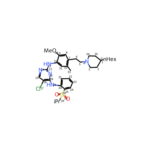 CCCCCCC1CCN(CCc2cc(OC)c(Nc3ncc(Cl)c(Nc4ccccc4S(=O)(=O)C(C)C)n3)cc2C)CC1